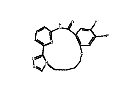 O=C1Nc2cccc(n2)-c2nncn2CCCCOc2cc(F)c(Br)cc21